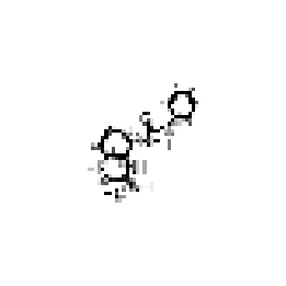 O=C(Nc1ccccc1)Nc1cccc2c1NS(O)(O)CN2